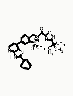 CC(C)(C)c1noc(C(=O)NCc2ccc(-c3ccnc4[nH]c(-c5ccccc5)nc34)cc2S(C)(=O)=O)n1